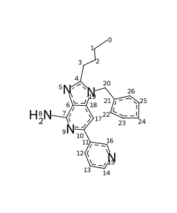 CCCCc1nc2c(N)nc(-c3cccnc3)cc2n1Cc1ccccc1